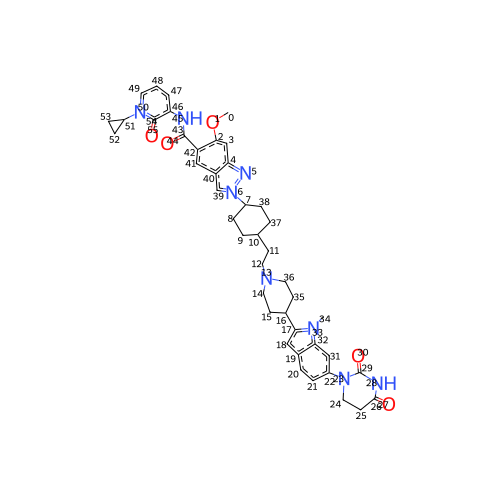 COc1cc2nn(C3CCC(CCN4CCC(c5cc6ccc(N7CCC(=O)NC7=O)cc6n5C)CC4)CC3)cc2cc1C(=O)Nc1cccn(C2CC2)c1=O